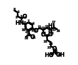 CCCC(=O)Nc1ccc(OCC(CNC(C)C)OC(=O)CCCON(O)O)c(C(C)=O)c1